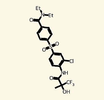 CCN(CC)C(=O)c1ccc(S(=O)(=O)c2ccc(NC(=O)C(C)(O)C(F)(F)F)c(Cl)c2)cc1